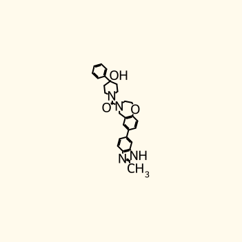 Cc1nc2ccc(-c3ccc4c(c3)CN(C(=O)N3CCC(O)(c5ccccc5)CC3)CCO4)cc2[nH]1